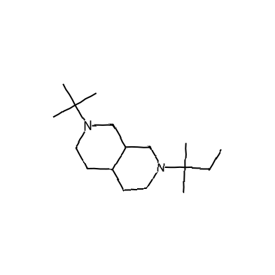 CCC(C)(C)N1CCC2CCN(C(C)(C)C)CC2C1